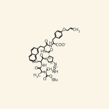 C=CCOc1ccc(CC(NC(=O)C(Cc2ccc3ccccc3c2)NC(=O)[C@@H]2C[C@H](N=[N+]=N)CN2C(=O)C(NC(=O)C(C)N(C)C(=O)OC(C)(C)C)C(C)(C)C)C(=O)[O-])cc1